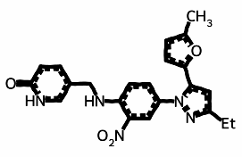 CCc1cc(-c2ccc(C)o2)n(-c2ccc(NCc3ccc(=O)[nH]c3)c([N+](=O)[O-])c2)n1